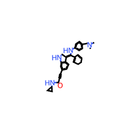 CN(C)Cc1ccc(N/C(C2=CCCC=C2)=C2\CNc3cc(C#CC(=O)NC4CC4)ccc32)cc1